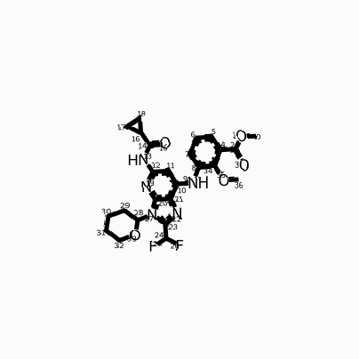 COC(=O)c1cccc(Nc2cc(NC(=O)C3CC3)nc3c2nc(C(F)F)n3C2CCCCO2)c1OC